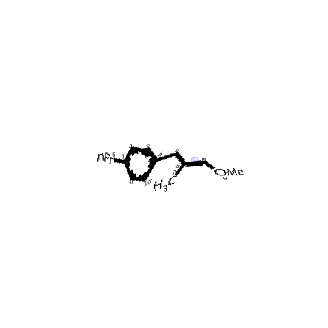 CCCc1ccc(C/C(C)=C/OC)cc1